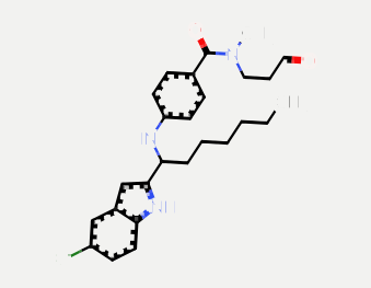 CCCCCCC(Nc1ccc(C(=O)N(C)CCC=O)cc1)c1cc2cc(Cl)ccc2[nH]1